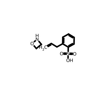 C1CON1.C=CCc1ccccc1S(=O)(=O)O